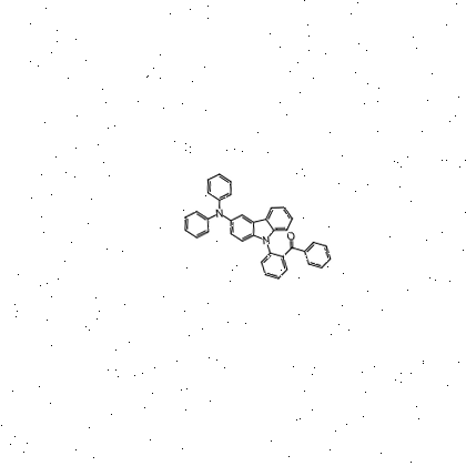 O=C(c1ccccc1)c1ccccc1-n1c2ccccc2c2cc(N(c3ccccc3)c3ccccc3)ccc21